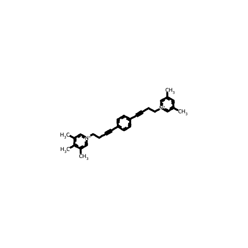 Cc1cc(C)c[n+](CCC#Cc2ccc(C#CCC[n+]3cc(C)c(C)c(C)c3)cc2)c1